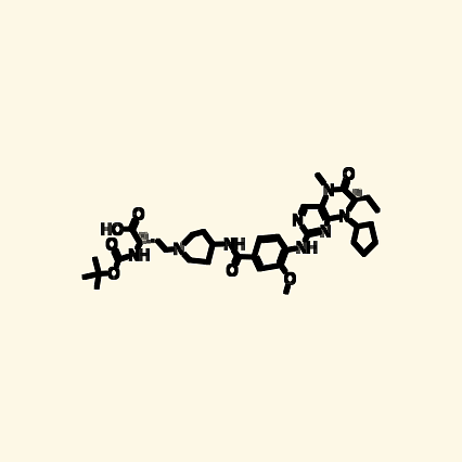 CC[C@@H]1C(=O)N(C)c2cnc(Nc3ccc(C(=O)NC4CCN(CC[C@H](NC(=O)OC(C)(C)C)C(=O)O)CC4)cc3OC)nc2N1C1CCCC1